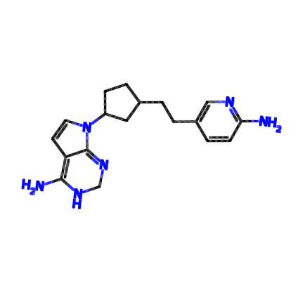 NC1=c2ccn(C3CCC(CCc4ccc(N)nc4)C3)c2=NCN1